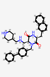 O=C1N[C@@H](Cc2ccc3ccccc3c2)C(=O)N(Cc2ccc(-c3ccccc3)cc2)[C@H]1CNCC1CCNCC1